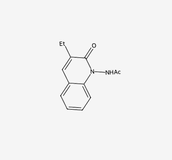 CCc1cc2ccccc2n(NC(C)=O)c1=O